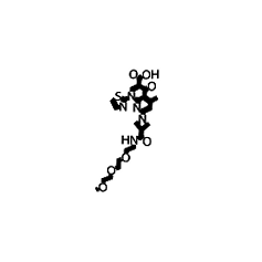 COCCOCCOCCNC(=O)C1CN(c2cc(C)c3c(=O)c(C(=O)O)cn(-c4nccs4)c3n2)C1